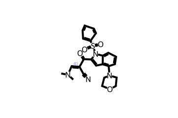 CN(C)/C=C(\C#N)C(=O)c1cc2c(N3CCOCC3)cccc2n1S(=O)(=O)c1ccccc1